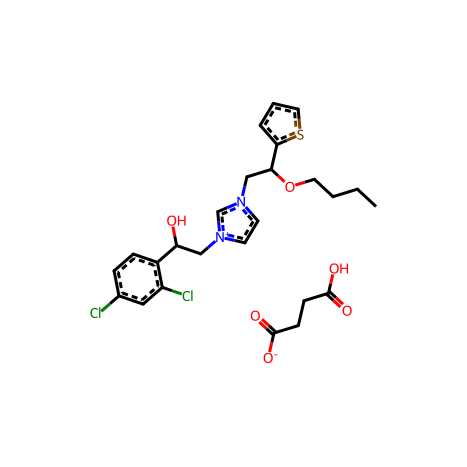 CCCCOC(Cn1cc[n+](CC(O)c2ccc(Cl)cc2Cl)c1)c1cccs1.O=C([O-])CCC(=O)O